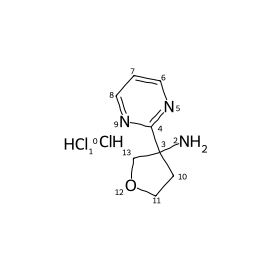 Cl.Cl.NC1(c2ncccn2)CCOC1